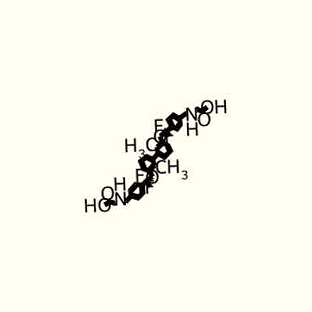 Cc1c(OC(F)(F)c2ccc(CNCC(=O)O)cc2)cccc1-c1cccc(OC(F)(F)c2ccc(CNCC(=O)O)cc2)c1C